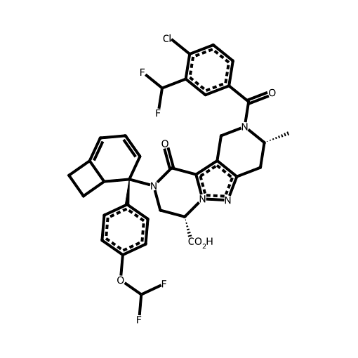 C[C@@H]1Cc2nn3c(c2CN1C(=O)c1ccc(Cl)c(C(F)F)c1)C(=O)N([C@@]1(c2ccc(OC(F)F)cc2)C=CC=C2CCC21)C[C@H]3C(=O)O